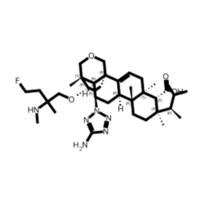 CNC(C)(CCF)CO[C@H]1[C@H](n2nnc(N)n2)C[C@@]23COC[C@]1(C)[C@@H]2CC[C@H]1C3=CC[C@@]2(C)[C@H](C(=O)O)[C@@](C)([C@H](C)C(C)C)CC[C@]12C